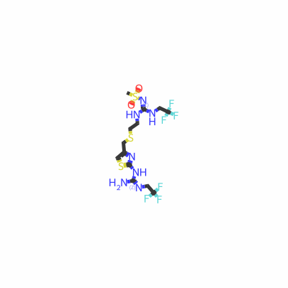 CS(=O)(=O)/N=C(\NCCSCc1csc(N/C(N)=N\CC(F)(F)F)n1)NCC(F)(F)F